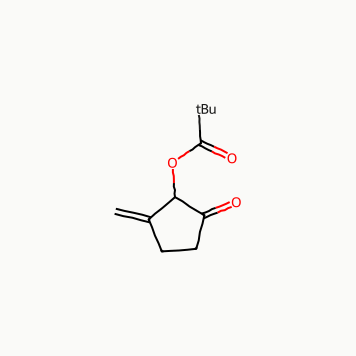 C=C1CCC(=O)C1OC(=O)C(C)(C)C